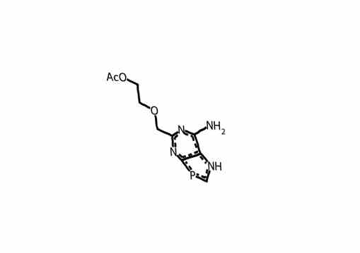 CC(=O)OCCOCc1nc(N)c2[nH]cpc2n1